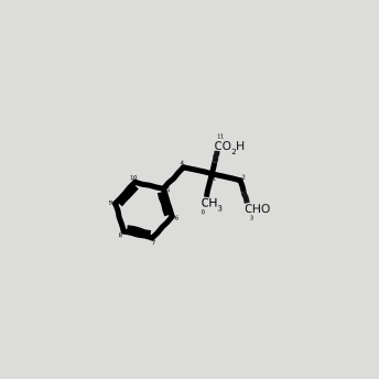 CC(CC=O)(Cc1ccccc1)C(=O)O